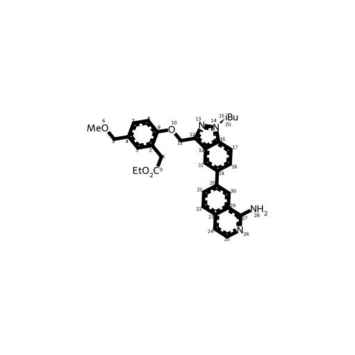 CCOC(=O)Cc1cc(COC)ccc1OCc1nn([C@@H](C)CC)c2ccc(-c3ccc4ccnc(N)c4c3)cc12